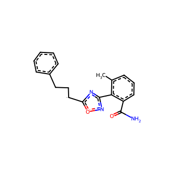 Cc1cccc(C(N)=O)c1-c1noc([CH]CCc2ccccc2)n1